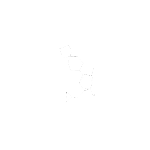 Cc1cc(N)c(OC2CC2)cc1C1CCC2(CC1)OCCO2